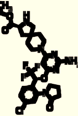 CCOC(=O)[C@@H]1CC2(CCN(c3cc(O[C@H](c4ccc(Cl)cc4N4CCCC4=O)C(F)(F)F)nc(N)n3)CC2)CN1